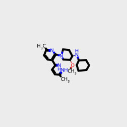 CO[C@@H]1CN(c2nc(C)ccc2C(=N)/C=C\C(C)=N)CC[C@@H]1NC1CCCCC1